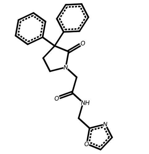 O=C(CN1CCC(c2ccccc2)(c2ccccc2)C1=O)NCc1ncco1